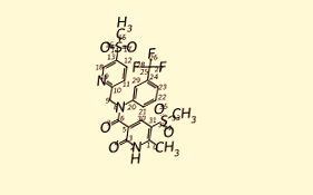 Cc1[nH]c(=O)c(C(=O)N(Cc2ccc(S(C)(=O)=O)cn2)c2cccc(C(F)(F)F)c2)cc1S(C)(=O)=O